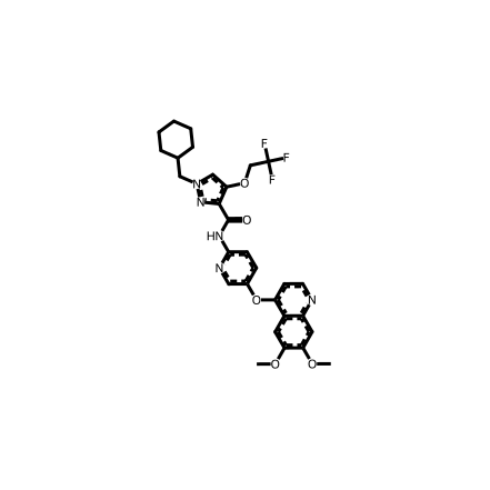 COc1cc2nccc(Oc3ccc(NC(=O)c4nn(CC5CCCCC5)cc4OCC(F)(F)F)nc3)c2cc1OC